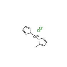 CC1=CC=C[CH]1[Zr+2][CH]1C=CC=C1.[Cl-].[Cl-]